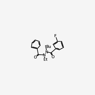 CCN(C(=O)c1ccccc1)N(C(=O)c1cccc(F)c1)C(C)(C)C